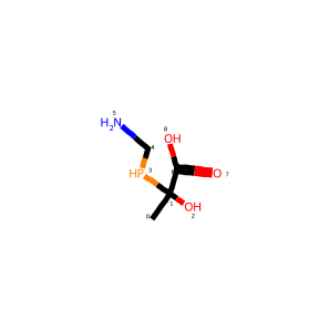 CC(O)(PCN)C(=O)O